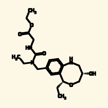 CCOC(=O)CNC(=O)N(CC)Cc1ccc2c(c1)[C@@H](CC)OC[C@@H](O)CN2